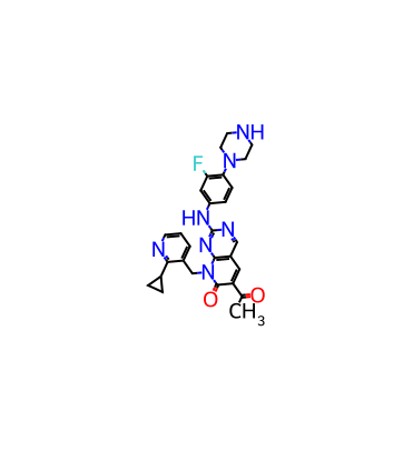 CC(=O)c1cc2cnc(Nc3ccc(N4CCNCC4)c(F)c3)nc2n(Cc2cccnc2C2CC2)c1=O